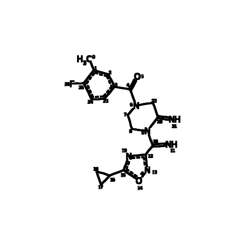 Cc1cc(C(=O)N2CCN(C(=N)c3noc(C4CC4)n3)C(=N)C2)ccc1F